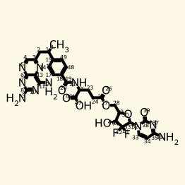 CC(Cc1cnc2nc(N)nc(N)c2n1)c1ccc(C(=O)NC(CCC(=O)OCC2OC(n3ccc(N)nc3=O)C(F)(F)[C@H]2O)C(=O)O)cc1